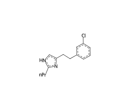 CCCc1nc(CCc2cccc(Cl)c2)c[nH]1